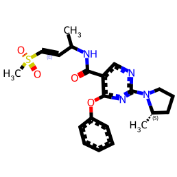 CC(/C=C/S(C)(=O)=O)NC(=O)c1cnc(N2CCC[C@@H]2C)nc1Oc1ccccc1